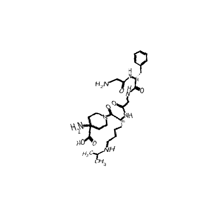 CC(C)NCCCC[C@@H](NC(=O)CNC(=O)[C@@H](Cc1ccccc1)NC(=O)CN)C(=O)N1CCC(N)(C(=O)O)CC1